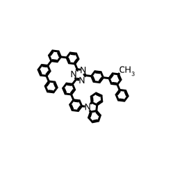 Cc1cc(-c2ccccc2)cc(-c2ccc(-c3nc(-c4cccc(-c5cccc(-c6cccc(-c7ccccc7)c6)c5)c4)nc(-c4cccc(-c5cccc(-n6c7ccccc7c7ccccc76)c5)c4)n3)cc2)c1